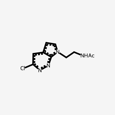 CC(=O)NCCn1ccc2cc(Cl)nnc21